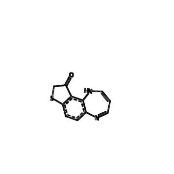 O=C1CSc2ccc3c(c21)NC=CC=N3